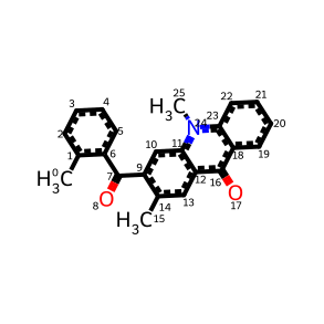 Cc1ccccc1C(=O)c1cc2c(cc1C)c(=O)c1ccccc1n2C